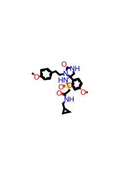 COc1ccc(CCN2C(=O)NC[C@@]2(NS(=O)(=O)CC(=O)NCC2CC2)c2ccc(OC)cc2)cc1